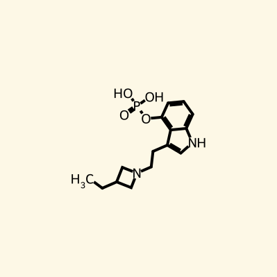 CCC1CN(CCc2c[nH]c3cccc(OP(=O)(O)O)c23)C1